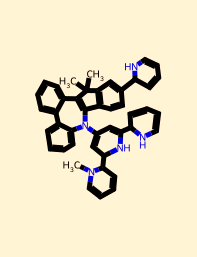 CN1C=CC=CC1C1C=C(N2C3=C(c4ccccc4-c4ccccc42)C(C)(C)c2cc(C4C=CC=CN4)ccc23)C=C(C2C=CC=CN2)N1